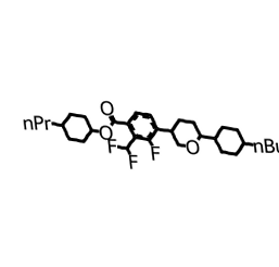 CCCCC1CCC(C2CCC(c3ccc(C(=O)OC4CCC(CCC)CC4)c(C(F)F)c3F)CO2)CC1